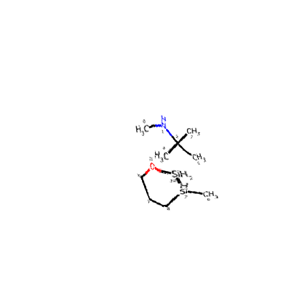 CNC(C)(C)C.C[SiH]1CCCO[SiH2]1